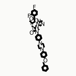 O=c1n(-c2ccc(N3CCN(c4ccc(OCc5ccccc5)cc4)CC3)cc2)cnn1C[C@@H]1CO[C@@](Cn2cncn2)(c2ccc(F)cc2F)C1